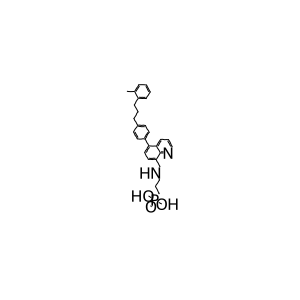 Cc1ccccc1CCCc1ccc(-c2ccc(CNCCCP(=O)(O)O)c3ncccc23)cc1